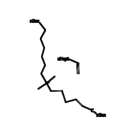 C=CCCCCCCC.CCCCCCCCCCCCCCCC[N+](C)(C)CCCCCCCCCCCCCCCC